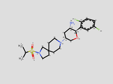 CC(C)S(=O)(=O)N1CCC2(CCN([C@H]3CO[C@H](c4cc(F)ccc4F)[C@@H](N)C3)CC2)C1